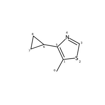 Cc1scnc1C1CC1